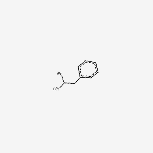 [CH2]CCC(Cc1ccccc1)C(C)C